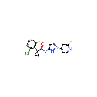 O=C(Nc1ccn(-c2ccnc(F)c2)n1)C1(c2c(F)cccc2Cl)CC1